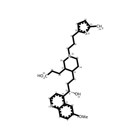 COc1ccc2nccc([C@@H](O)CCC3CCN(CCCc4ccc(C)s4)CC3CCC(=O)O)c2c1